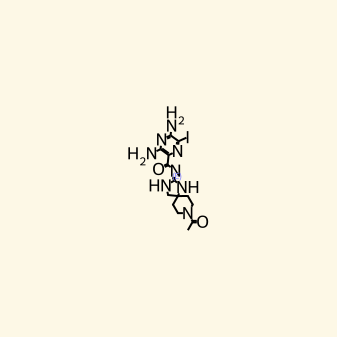 CC(=O)N1CCC2(CC1)CN/C(=N\C(=O)c1nc(I)c(N)nc1N)N2